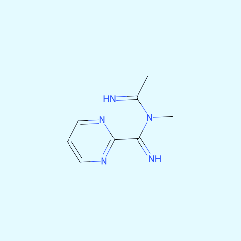 CC(=N)N(C)C(=N)c1ncccn1